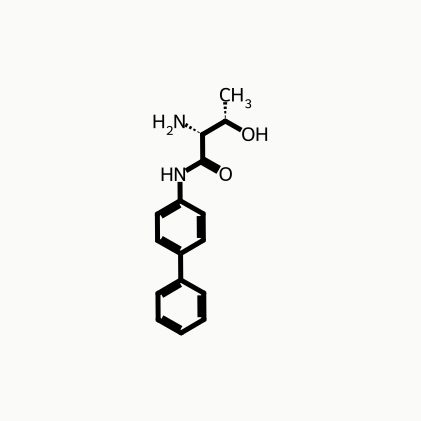 C[C@H](O)[C@@H](N)C(=O)Nc1ccc(-c2ccccc2)cc1